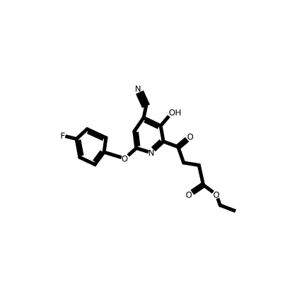 CCOC(=O)CCC(=O)c1nc(Oc2ccc(F)cc2)cc(C#N)c1O